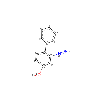 COc1ccc(-c2ccccc2)c([N+]#N)c1